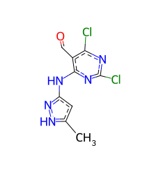 Cc1cc(Nc2nc(Cl)nc(Cl)c2C=O)n[nH]1